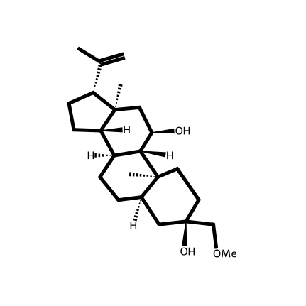 C=C(C)[C@H]1CC[C@H]2[C@@H]3CC[C@@H]4C[C@@](O)(COC)CC[C@]4(C)[C@H]3[C@H](O)C[C@]12C